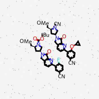 COC[C@@H]1C[C@@H](N2Cc3ccc(-c4cc(C#N)ccc4F)nc3C2=O)CN1C(=O)OC(C)(C)C.COC[C@@H]1C[C@@H](N2Cc3ccc(-c4cc(C#N)ccc4OC4CC4)nc3C2=O)CN1C#N